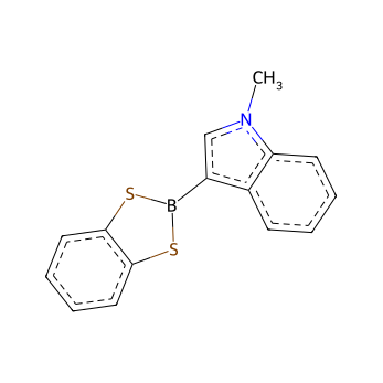 Cn1cc(B2Sc3ccccc3S2)c2ccccc21